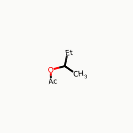 [CH2]C(=O)OC(C)CC